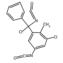 Cc1c(Cl)cc(N=C=O)cc1C(Cl)(N=C=O)c1ccccc1